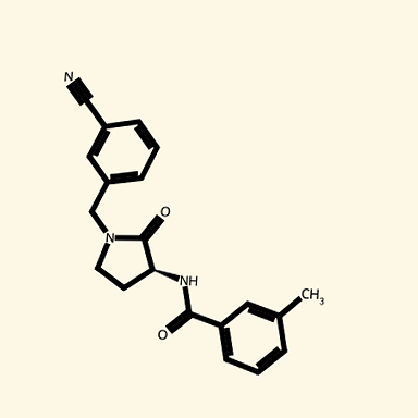 Cc1cccc(C(=O)N[C@H]2CCN(Cc3cccc(C#N)c3)C2=O)c1